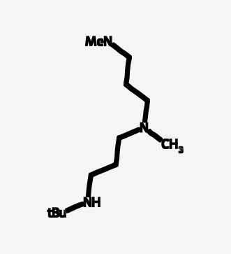 CNCCCN(C)CCCNC(C)(C)C